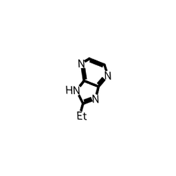 CCc1nc2nccnc2[nH]1